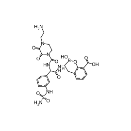 NCCN1CCN(C(=O)NC(C(=O)N[C@H]2Cc3cccc(C(=O)O)c3OB2O)c2cccc(NS(N)(=O)=O)c2)C(=O)C1=O